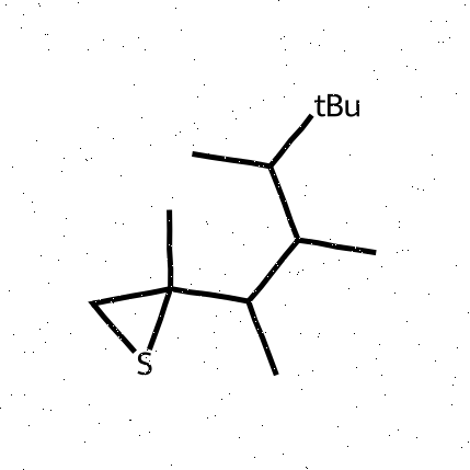 CC(C(C)C(C)(C)C)C(C)C1(C)CS1